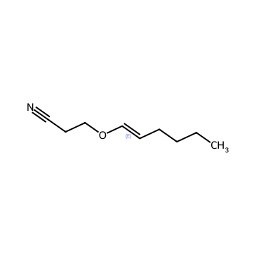 CCCC/C=C/OCCC#N